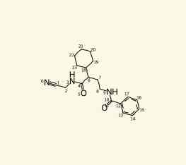 N#CCNC(=O)C(CCNC(=O)c1ccccc1)C1CCCCC1